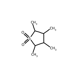 CC1C(C)C(C)S(=O)(=O)C1C